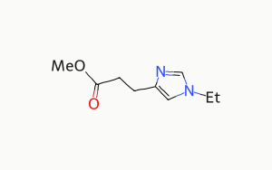 CCn1cnc(CCC(=O)OC)c1